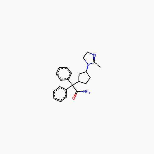 CC1=NCCN1[C@H]1CCC(C(C(N)=O)(c2ccccc2)c2ccccc2)C1